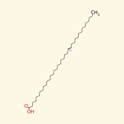 CCCCCCCCCCCCC/C=C/CCCCCCCCCCCCCCCCCCCCCC(=O)O